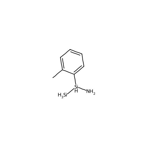 Cc1ccccc1[SiH](N)[SiH3]